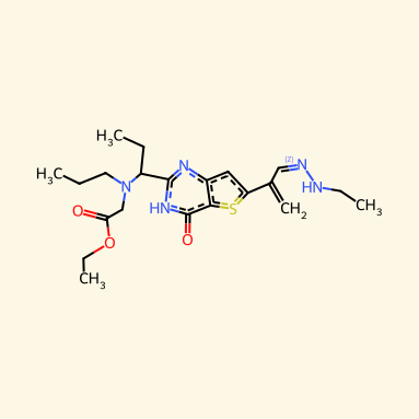 C=C(/C=N\NCC)c1cc2nc(C(CC)N(CCC)CC(=O)OCC)[nH]c(=O)c2s1